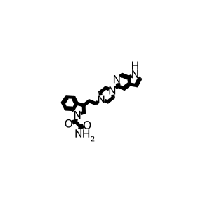 NC(=O)C(=O)N1CC(CCN2CCN(c3cc4cc[nH]c4cn3)CC2)c2ccccc21